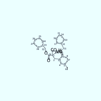 NC(Cc1cc(I)ccc1OCc1ccccc1)(C(=O)O)C(=O)OCc1ccccc1